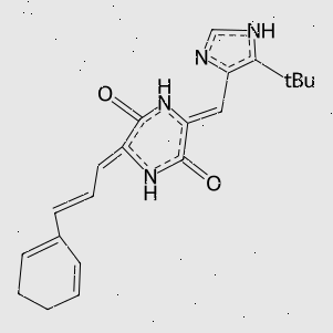 CC(C)(C)c1[nH]cnc1/C=c1\[nH]c(=O)/c(=C/C=C/C2=CCCC=C2)[nH]c1=O